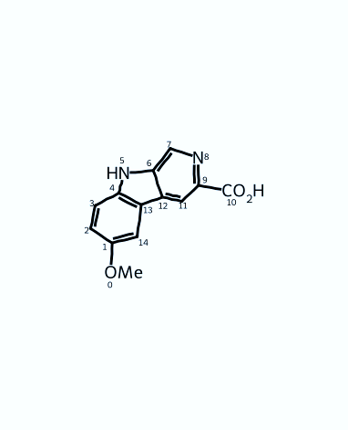 COc1ccc2[nH]c3cnc(C(=O)O)cc3c2c1